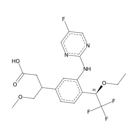 CCO[C@H](c1ccc(C(COC)CC(=O)O)cc1Nc1ncc(F)cn1)C(F)(F)F